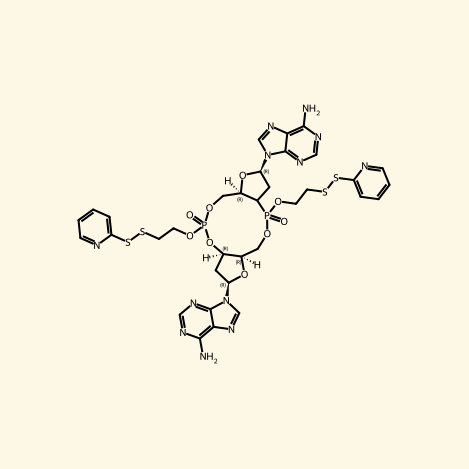 Nc1ncnc2c1ncn2[C@H]1CC2[C@@H](COP(=O)(OCCSSc3ccccn3)O[C@@H]3C[C@H](n4cnc5c(N)ncnc54)O[C@@H]3COP2(=O)OCCSSc2ccccn2)O1